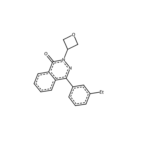 [CH2]Cc1cccc(-c2nn(C3COC3)c(=O)c3ccccc23)c1